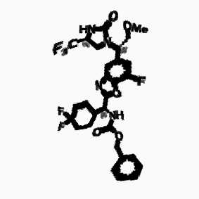 COC[C@H](c1cc(F)c2oc([C@H](NC(=O)OCc3ccccc3)C3CCC(F)(F)CC3)nc2c1)N1C[C@@H](C(F)(F)F)NC1=O